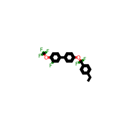 CCc1ccc(C(F)(F)Oc2ccc(-c3ccc(OC(F)(F)F)c(F)c3)cc2)cc1